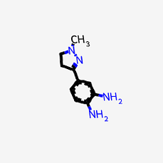 CN1CCC(c2ccc(N)c(N)c2)=N1